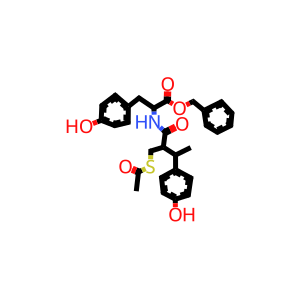 CC(=O)SCC(C(=O)NC(Cc1ccc(O)cc1)C(=O)OCc1ccccc1)C(C)c1ccc(O)cc1